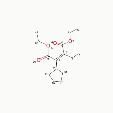 CCOC(=O)/C(CC)=C(\C(=O)OCC)C1CCCC1